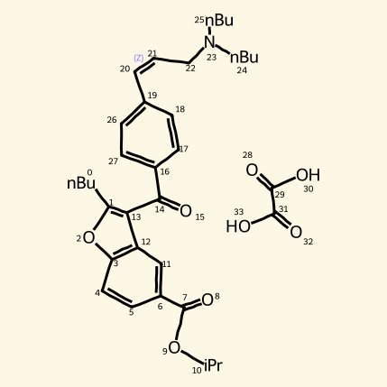 CCCCc1oc2ccc(C(=O)OC(C)C)cc2c1C(=O)c1ccc(/C=C\CN(CCCC)CCCC)cc1.O=C(O)C(=O)O